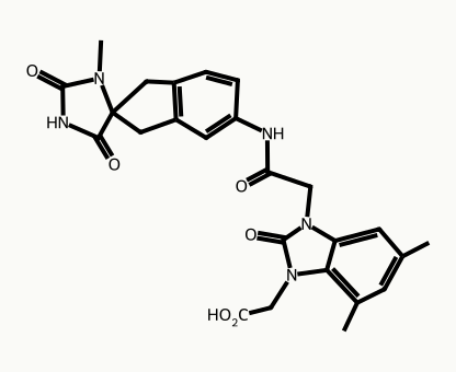 Cc1cc(C)c2c(c1)n(CC(=O)Nc1ccc3c(c1)CC1(C3)C(=O)NC(=O)N1C)c(=O)n2CC(=O)O